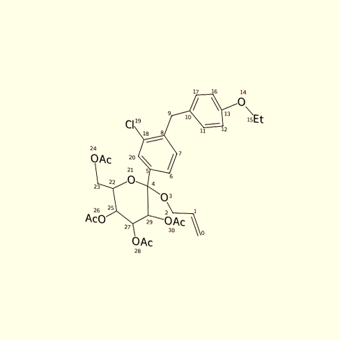 C=CCOC1(c2ccc(Cc3ccc(OCC)cc3)c(Cl)c2)OC(COC(C)=O)C(OC(C)=O)C(OC(C)=O)C1OC(C)=O